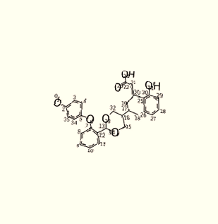 COc1ccc(Oc2ccccc2C2OCC(C(C)C/C(=C\C(=O)O)c3ccccc3O)CO2)cc1